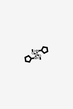 CO[Si](NC1CCCC1)(NC1CCCC1)OC